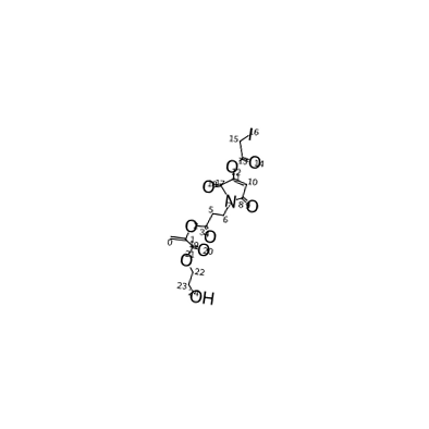 C=C(OC(=O)CCN1C(=O)C=C(OC(=O)CI)C1=O)C(=O)OCCO